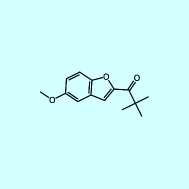 COc1ccc2oc(C(=O)C(C)(C)C)cc2c1